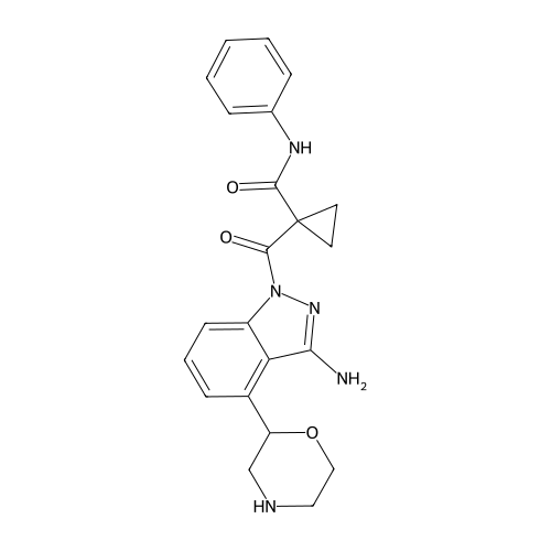 Nc1nn(C(=O)C2(C(=O)Nc3ccccc3)CC2)c2cccc(C3CNCCO3)c12